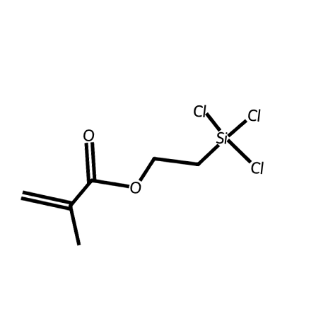 C=C(C)C(=O)OCC[Si](Cl)(Cl)Cl